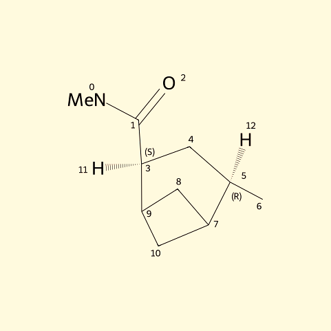 CNC(=O)[C@H]1C[C@@H](C)C2CC1C2